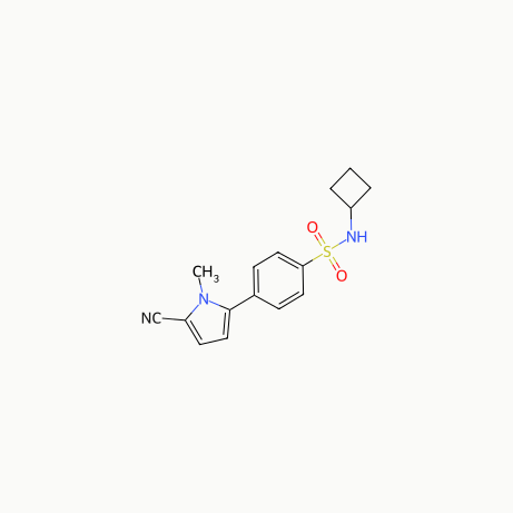 Cn1c(C#N)ccc1-c1ccc(S(=O)(=O)NC2CCC2)cc1